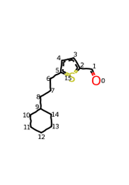 O=Cc1ccc(CCCC2CCCCC2)s1